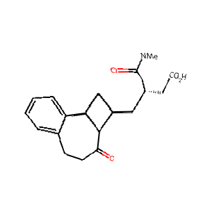 CNC(=O)[C@H](CC(=O)O)CC1CC2c3ccccc3CCC(=O)C12